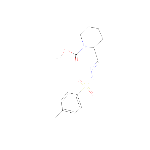 Cc1ccc(S(=O)(=O)N/N=C/C2CCCCN2C(=O)OC(C)(C)C)cc1